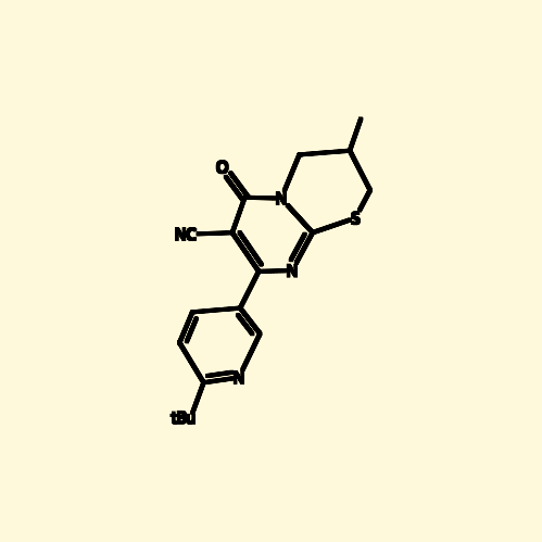 CC1CSc2nc(-c3ccc(C(C)(C)C)nc3)c(C#N)c(=O)n2C1